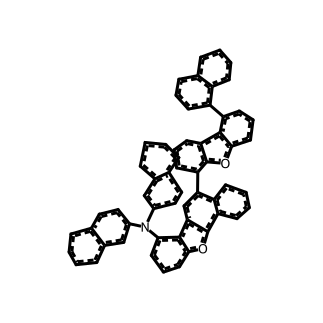 c1ccc2cc(N(c3ccc4ccccc4c3)c3cccc4oc5c6ccccc6c(-c6cccc7c6oc6cccc(-c8cccc9ccccc89)c67)cc5c34)ccc2c1